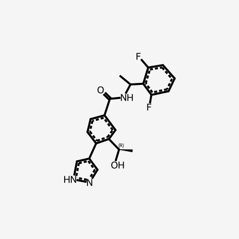 CC(NC(=O)c1ccc(-c2cn[nH]c2)c([C@@H](C)O)c1)c1c(F)cccc1F